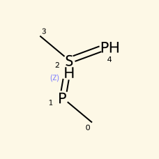 C/P=[SH](/C)=P